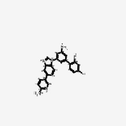 Nc1cc(-c2ccc(F)cc2F)cc(-n2cnc3cc(-c4ccc(N)nc4)ccc32)c1